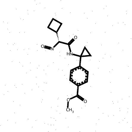 COC(=O)c1ccc(C2(NC(=O)[C@H](N=O)C3CCC3)CC2)cc1